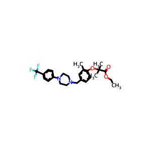 CCOC(=O)C(C)(C)Oc1ccc(CN2CCN(c3ccc(C(F)(F)F)cc3)CC2)cc1C